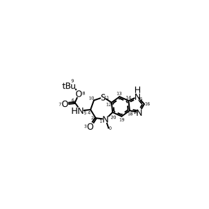 CN1C(=O)C(NC(=O)OC(C)(C)C)CSc2cc3[nH]cnc3cc21